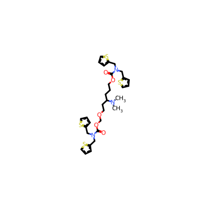 CN(C)C(CCCOC(=O)N(Cc1cccs1)Cc1cccs1)CCOCOC(=O)N(Cc1cccs1)Cc1cccs1